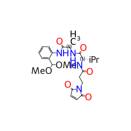 COC(OC)c1ccccc1NC(=O)[C@H](C)NC(=O)[C@@H](NC(=O)CCN1C(=O)C=CC1=O)C(C)C